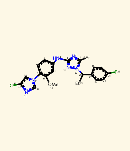 CCc1nc(Nc2ccc(-n3cnc(Cl)c3)c(OC)c2)nn1C(CC)c1ccc(F)cc1